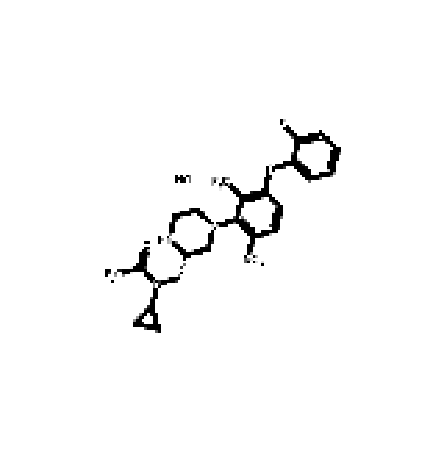 Cl.O=C(N(C[C@H]1CN(c2c([N+](=O)[O-])ccc(Oc3ccccc3F)c2C(F)(F)F)CCN1)C1CC1)C(F)(F)F